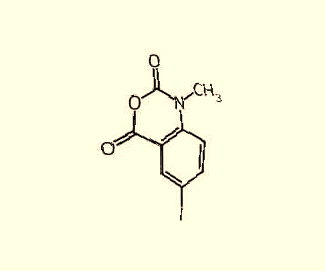 Cn1c(=O)oc(=O)c2cc(I)ccc21